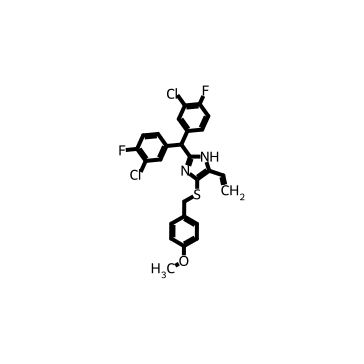 C=Cc1[nH]c(C(c2ccc(F)c(Cl)c2)c2ccc(F)c(Cl)c2)nc1SCc1ccc(OC)cc1